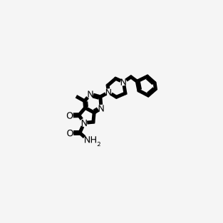 Cc1nc(N2CCN(Cc3ccccc3)CC2)nc2c1C(=O)N(C(N)=O)C2